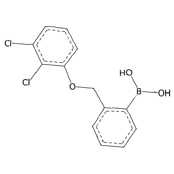 OB(O)c1ccccc1COc1cccc(Cl)c1Cl